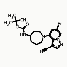 CC(C)(C)OC(=O)NC1CCCN(c2cc(Br)cn3ncc(C#N)c23)CC1